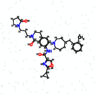 Cc1ccccc1CC1CCCN(c2cc3c(cc2NC(=O)c2coc(C4CC4)n2)C(=O)N(CCCN2CCCC2=O)CC3)CC1